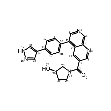 O=C(c1cnc2cncc(-c3ccc(-c4cn[nH]c4)cc3)c2c1)N1CC[C@@H](O)C1